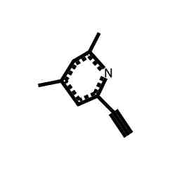 C#Cc1cc(C)cc(C)n1